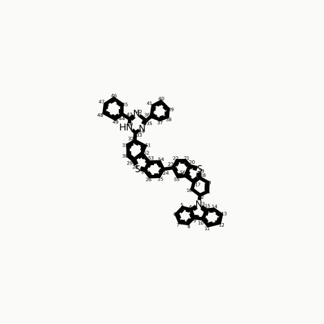 C1=CC(n2c3ccccc3c3ccccc32)Cc2c1sc1ccc(-c3ccc4sc5ccc(C6N=C(c7ccccc7)N=C(c7ccccc7)N6)cc5c4c3)cc21